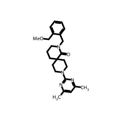 COCc1ccccc1CN1CCCC2(CCN(c3nc(C)cc(C)n3)CC2)C1=O